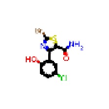 NC(=O)c1sc(Br)nc1-c1cc(Cl)ccc1O